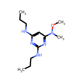 CCCNc1cc(N(C)OC)nc(NCCC)n1